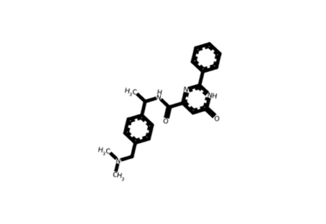 CC(NC(=O)c1cc(=O)[nH]c(-c2ccccc2)n1)c1ccc(CN(C)C)cc1